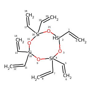 C=C[SiH]1O[Si](C=C)(C=C)O[Si](C=C)(C=C)O[Si](C=C)(C=C)O1